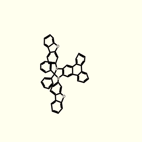 c1ccc(C2(c3ccccc3)N(c3ccc4c(c3)oc3ccccc34)c3cc4c5ccccc5c5ccccc5c4cc3N2c2ccc3c(c2)oc2ccccc23)cc1